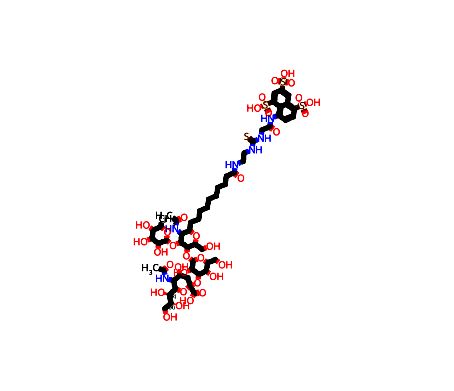 CC(=O)NC1C(CCCCCCCCCC(=O)NCCNC(=S)NCC(=O)Nc2ccc(S(=O)(=O)O)c3cc(S(=O)(=O)O)cc(S(=O)(=O)O)c23)OC(CO)C(OC2OC(CO)C(O)C(OC3(C(=O)O)CC(O)C(NC(C)=O)C([C@H](O)[C@H](O)CO)O3)C2O)C1OC1OC(C)C(O)C(O)C1O